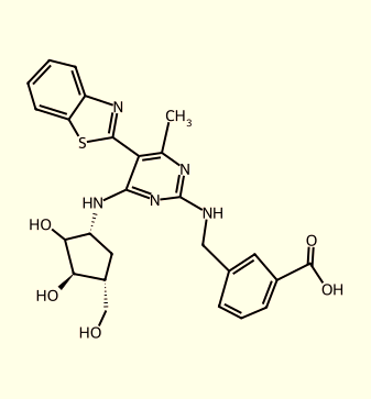 Cc1nc(NCc2cccc(C(=O)O)c2)nc(N[C@@H]2C[C@H](CO)[C@@H](O)C2O)c1-c1nc2ccccc2s1